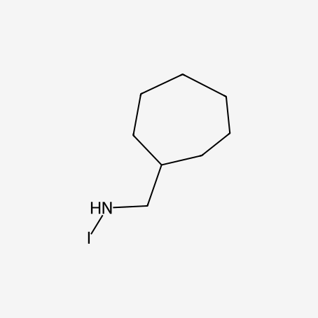 INCC1CCCCCC1